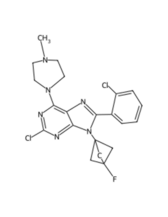 CN1CCN(c2nc(Cl)nc3c2nc(-c2ccccc2Cl)n3C23CC(F)(C2)C3)CC1